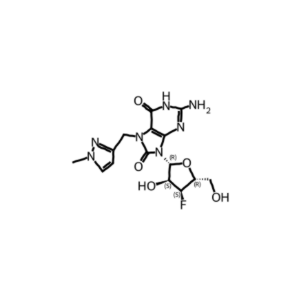 Cn1ccc(Cn2c(=O)n([C@@H]3O[C@H](CO)[C@@H](F)[C@H]3O)c3nc(N)[nH]c(=O)c32)n1